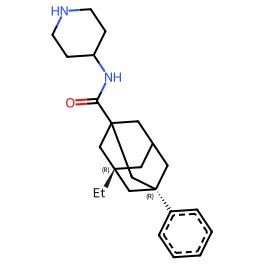 CC[C@]12CC3CC(C(=O)NC4CCNCC4)(C1)C[C@@](c1ccccc1)(C3)C2